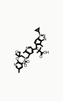 Cc1cnc2c(c1)S(=O)(=O)N(Cc1cc([C@@H](c3ccc4c(nnn4C4CC4)c3C)C(C)(C)C(=O)O)cnc1C)CC1(COC1)O2